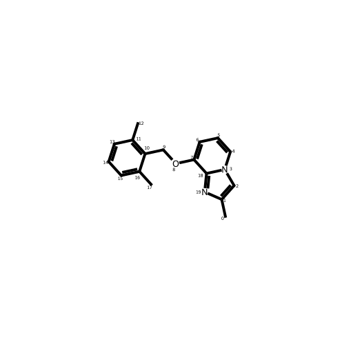 Cc1cn2cccc(OCc3c(C)cccc3C)c2n1